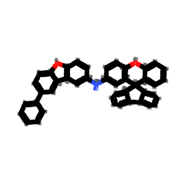 c1ccc(-c2ccc3oc4ccc(Nc5ccc6c(c5)C5(c7ccccc7O6)c6ccccc6-c6ccccc65)cc4c3c2)cc1